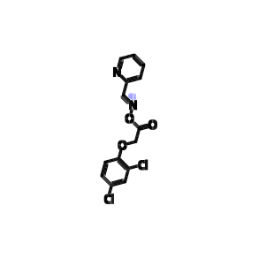 O=C(COc1ccc(Cl)cc1Cl)O/N=C/c1ccccn1